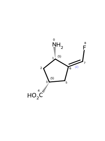 N[C@H]1C[C@@H](C(=O)O)C/C1=C/F